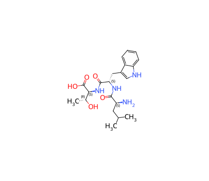 CC(C)C[C@H](N)C(=O)N[C@@H](Cc1c[nH]c2ccccc12)C(=O)N[C@H](C(=O)O)[C@@H](C)O